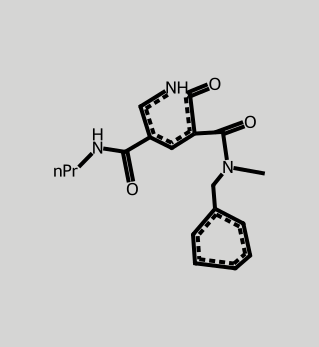 CCCNC(=O)c1c[nH]c(=O)c(C(=O)N(C)Cc2ccccc2)c1